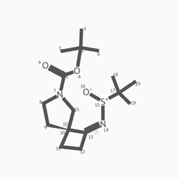 CC(C)(C)OC(=O)N1CC[C@@]2(CC/C2=N/[S+]([O-])C(C)(C)C)C1